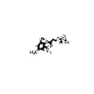 CCOP(=O)(CC)OCCC(=O)Oc1c(C)cc(C)cc1C(C)(C)C